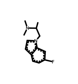 CC(Cn1ccc2ccc(F)cc21)N(C)C